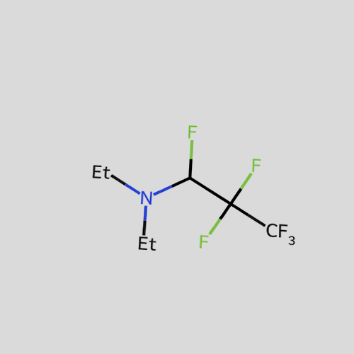 CCN(CC)C(F)C(F)(F)C(F)(F)F